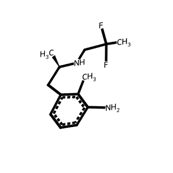 Cc1c(N)cccc1C[C@@H](C)NCC(C)(F)F